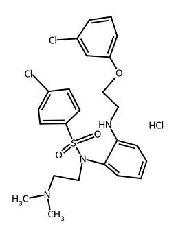 CN(C)CCN(c1ccccc1NCCOc1cccc(Cl)c1)S(=O)(=O)c1ccc(Cl)cc1.Cl